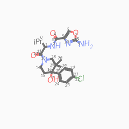 CC(C)C(NC(=O)c1coc(N)n1)C(=O)N1CCC(O)(c2ccc(Cl)cc2)C(C)(C)C1